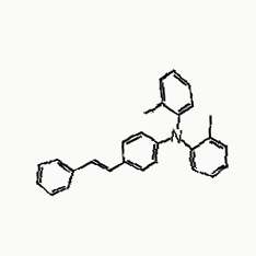 Cc1ccccc1N(c1ccc(C=Cc2ccccc2)cc1)c1ccccc1C